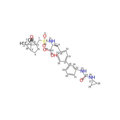 CC1(C)C2CCC1(CS(=O)(=O)N[C@@H](Cc1ccc(-c3cccc(NC(=O)NC4CC4)c3)cc1)C(=O)O)C(=O)C2